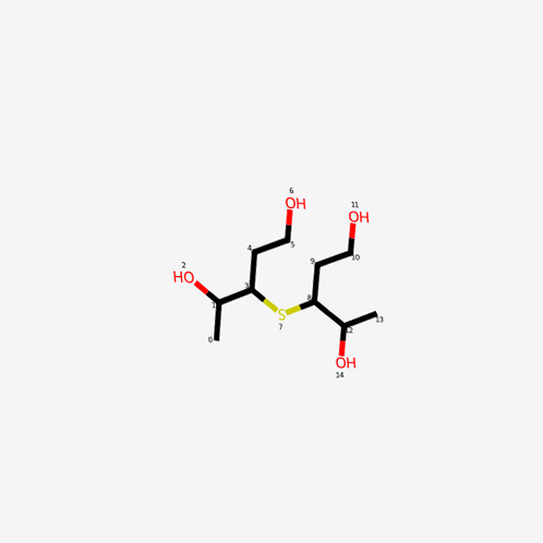 CC(O)C(CCO)SC(CCO)C(C)O